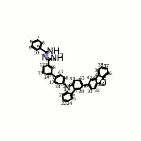 N=C(/N=C(\N)c1ccccc1)c1cccc(-c2ccc(-n3c4ccccc4c4cc(-c5ccc6oc7ccccc7c6c5)ccc43)cc2)c1